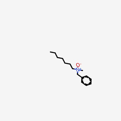 CCCCCCC[N+](C)([O-])Cc1ccccc1